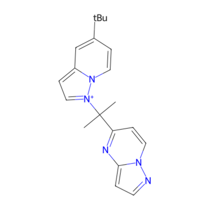 CC(C)(C)c1ccn2c(cc[n+]2C(C)(C)c2ccn3nccc3n2)c1